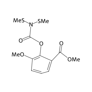 COC(=O)c1cccc(OC)c1OC(=O)N(SC)SC